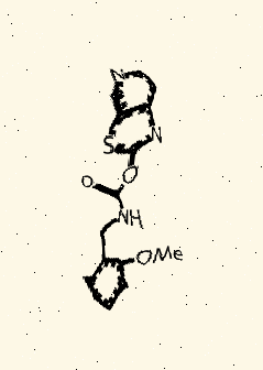 COc1ccccc1CNC(=O)Oc1nc2ccncc2s1